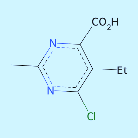 CCc1c(Cl)nc(C)nc1C(=O)O